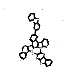 Clc1nc2oc3ccccc3c2nc1-n1c2ccccc2c2c3cc(-c4ccc5oc6ccccc6c5c4)ccc3c3c4ccc5ccccc5c4oc3c21